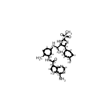 Cc1ccc(NC(O)c2[nH]c(S(C)(=O)=O)nc2-c2ccc(F)cc2)cc1NC(=O)c1csc2c(N)ncnc12